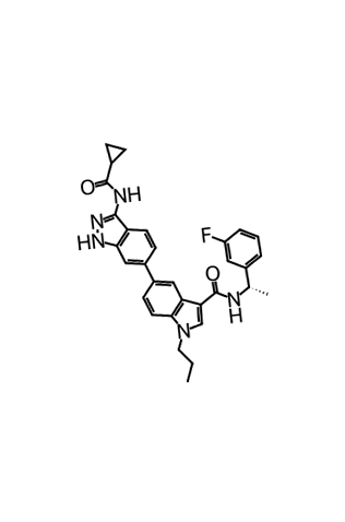 CCCn1cc(C(=O)N[C@@H](C)c2cccc(F)c2)c2cc(-c3ccc4c(NC(=O)C5CC5)n[nH]c4c3)ccc21